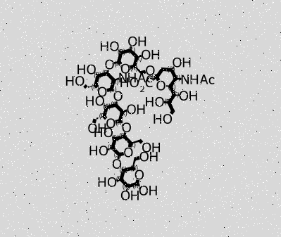 CC(=O)N[C@H]1[C@H](O[C@H]2[C@@H](O)[C@@H](CO)O[C@H](O[C@@H]3[C@H](O)[C@@H](O)[C@H](O[C@H]4[C@H](O)[C@@H](O)[C@H](O)O[C@@H]4CO)O[C@@H]3CO)[C@@H]2O)O[C@H](CO)[C@H](O)[C@@H]1O[C@@H]1O[C@H](CO[C@]2(C(=O)O)C[C@H](O)[C@@H](NC(C)=O)[C@H]([C@H](O)[C@H](O)CO)O2)[C@H](O)[C@H](O)[C@H]1O